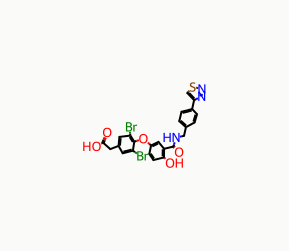 O=C(O)Cc1cc(Br)c(Oc2ccc(O)c(C(=O)NCc3ccc(-c4csnn4)cc3)c2)c(Br)c1